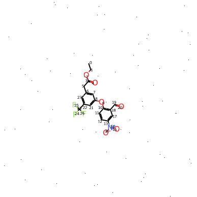 CCOC(=O)Cc1cc(Oc2ccc([N+](=O)[O-])cc2C=O)cc(C(F)(F)F)c1